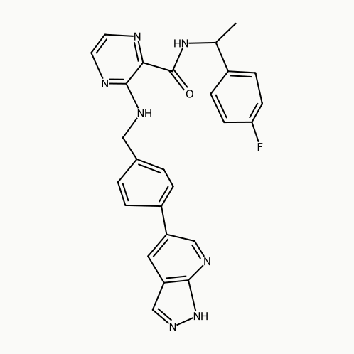 CC(NC(=O)c1nccnc1NCc1ccc(-c2cnc3[nH]ncc3c2)cc1)c1ccc(F)cc1